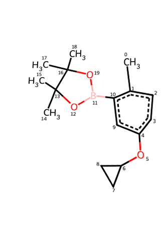 Cc1ccc(OC2CC2)cc1B1OC(C)(C)C(C)(C)O1